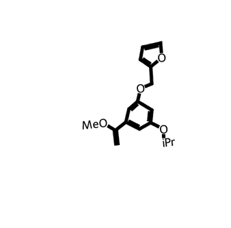 C=C(OC)c1cc(OCc2ccco2)cc(OC(C)C)c1